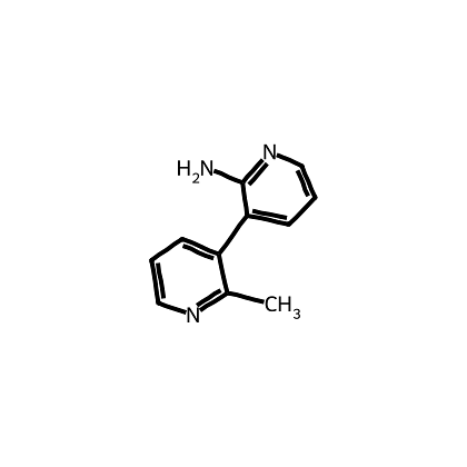 Cc1ncccc1-c1cccnc1N